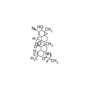 CC1(C)CC[C@]2(NC(=O)C(C)(F)F)CC[C@]3(C)C(C(=O)C=C4[C@@]5(C)C=C(C#N)C(O)C6(C)C[C@]65CC[C@]43C)C2C1